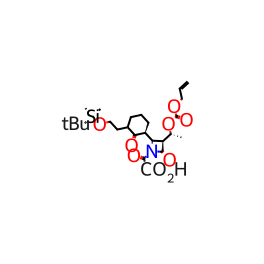 C=CCOC(=O)O[C@H](C)[C@H]1C(=O)N(C(=O)C(=O)O)[C@@H]1[C@@H]1CCCC(CCO[Si](C)(C)C(C)(C)C)C1=O